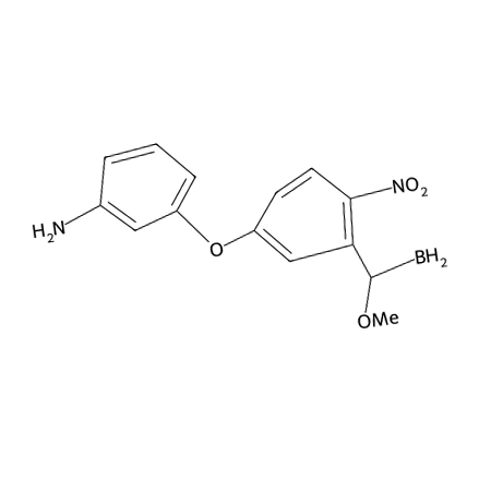 BC(OC)c1cc(Oc2cccc(N)c2)ccc1[N+](=O)[O-]